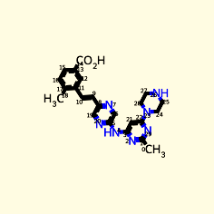 Cc1nc(Nc2cnc(/C=C/c3cc(C(=O)O)ccc3C)cn2)cc(N2CCNCC2)n1